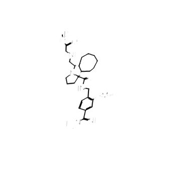 COc1cc(C(=N)N)ccc1CNC(=O)[C@]1(C2CCCCCCC2)CCCN1C(=O)CNCC(=O)OC(C)(C)C